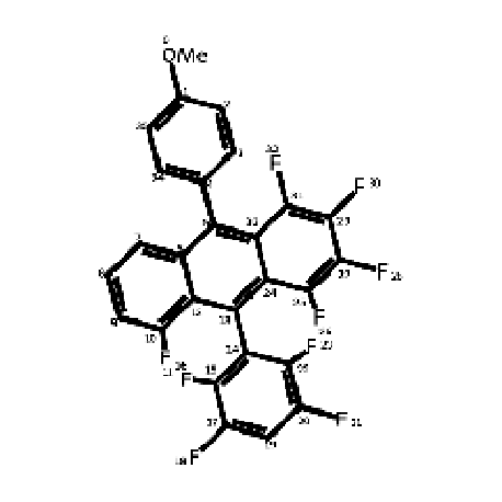 COc1ccc(-c2c3cccc(F)c3c(-c3c(F)c(F)cc(F)c3F)c3c(F)c(F)c(F)c(F)c23)cc1